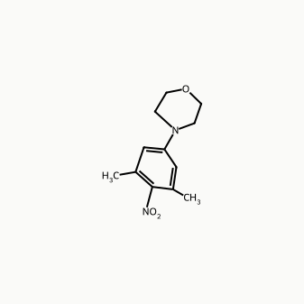 Cc1cc(N2CCOCC2)cc(C)c1[N+](=O)[O-]